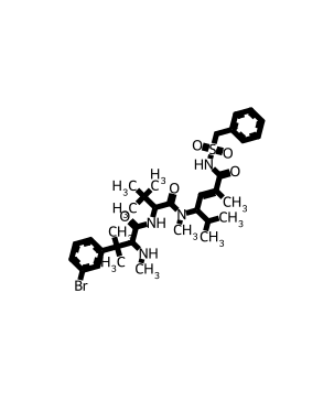 CNC(C(=O)NC(C(=O)N(C)C(C=C(C)C(=O)NS(=O)(=O)Cc1ccccc1)C(C)C)C(C)(C)C)C(C)(C)c1cccc(Br)c1